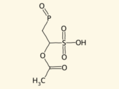 CC(=O)OC(CP=O)S(=O)(=O)O